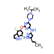 C/C=C/c1cc(Nc2cc(N3CCN(C(C)C)CC3)nc(Oc3cc(F)c4[nH]ccc4c3F)n2)n[nH]1